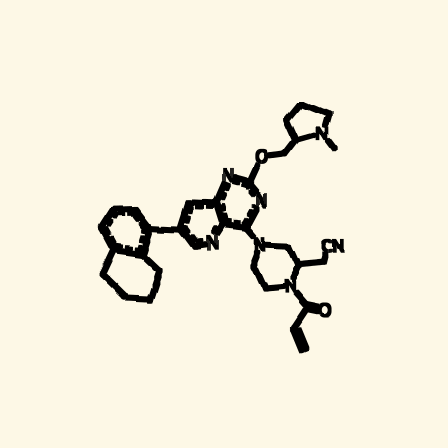 C=CC(=O)N1CCN(c2nc(OCC3CCCN3C)nc3cc(-c4cccc5c4CCCC5)cnc23)CC1CC#N